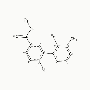 Cc1cccc(-c2cc(C(=O)CO)ccc2Cl)c1F